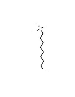 CCCCCCCCC[PH](O)(O)O